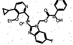 CCOc1c(C2CC2)ccnc1C[S@@+]([O-])c1nc2ccc(F)cc2n1COC(=O)[C@H](O)c1ccccc1